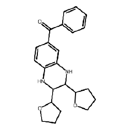 O=C(c1ccccc1)c1ccc2c(c1)NC(C1CCCO1)C(C1CCCO1)N2